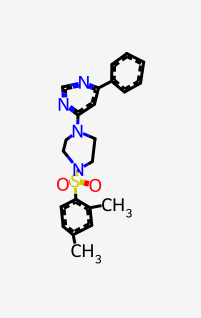 Cc1ccc(S(=O)(=O)N2CCN(c3cc(-c4ccccc4)ncn3)CC2)c(C)c1